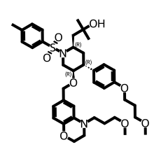 COCCCOc1ccc([C@H]2C[C@H](CC(C)(C)O)N(S(=O)(=O)c3ccc(C)cc3)C[C@@H]2OCc2ccc3c(c2)N(CCCOC)CCO3)cc1